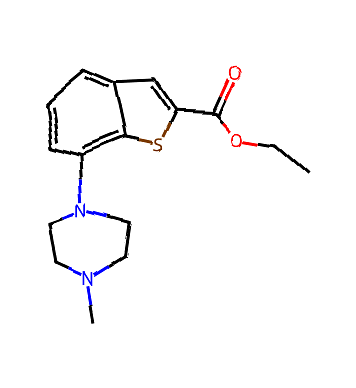 CCOC(=O)c1cc2cccc(N3CCN(C)CC3)c2s1